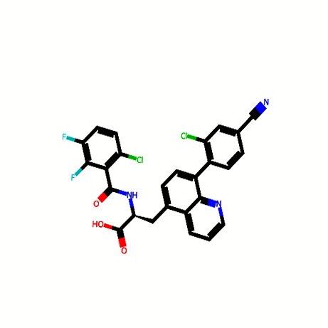 N#Cc1ccc(-c2ccc(C[C@H](NC(=O)c3c(Cl)ccc(F)c3F)C(=O)O)c3cccnc23)c(Cl)c1